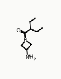 CCC(CC)C(=O)N1CC(N)C1